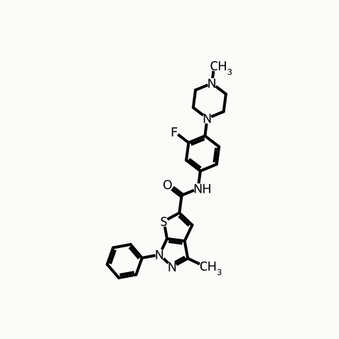 Cc1nn(-c2ccccc2)c2sc(C(=O)Nc3ccc(N4CCN(C)CC4)c(F)c3)cc12